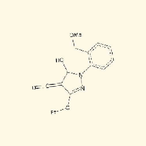 CCOC1=NN(c2ccccc2COC)C(O)C1=C=O